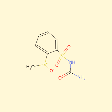 C[S+]([O-])c1ccccc1S(=O)(=O)NC(N)=O